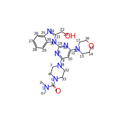 CN(C)C(=O)N1CCN(c2cc(N3CCOCC3)nc(-n3c(CO)nc4ccccc43)n2)CC1